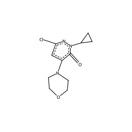 O=c1c(N2CCOCC2)cc(Cl)nn1C1CC1